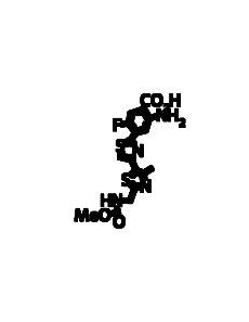 COC(=O)NCc1nc(C)c(-c2csc(-c3cc(N)c(C(=O)O)cc3F)n2)s1